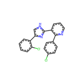 Clc1ccc(-c2ncccc2-c2nc(-c3ccccc3Cl)c[nH]2)cc1